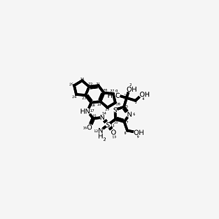 CC(O)(CO)c1nc(CO)c(S(N)(=O)=NC(=O)Nc2c3c(cc4c2CCC4)CCC3)s1